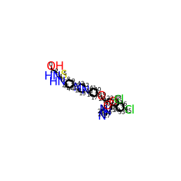 OCCNC(=S)Nc1ccc(N2CCN(c3ccc(OCC4COC(Cn5cncn5)(c5ccc(Cl)cc5Cl)O4)cc3)CC2)cc1